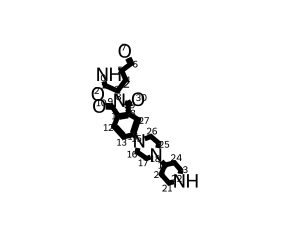 NC(=O)C(CCC=O)N1C(=O)c2ccc(N3CCN(C4CCNCC4)CC3)cc2C1=O